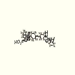 O=C(Nc1ccccc1)Nc1ccc(-c2ccc(S(=O)(=O)N3C(OC(=O)O)CC4CCCC43)cc2)cc1